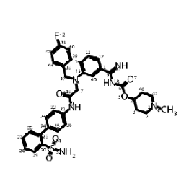 CN1CCC(OC(=O)NC(=N)c2cccc(N(CC(=O)Nc3ccc(-c4ccccc4S(N)(=O)=O)cc3)Cc3ccc(F)cc3)c2)CC1